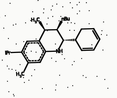 CCCC[C@@H]1[C@H](C)c2cc(C(C)C)c(C)cc2N[C@H]1C1C=CC=CC1